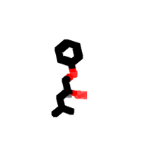 CC(C)C[C@H](O)COc1ccccc1